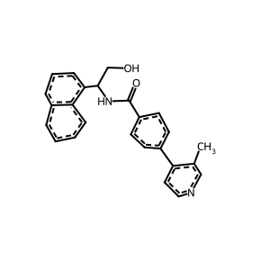 Cc1cnccc1-c1ccc(C(=O)NC(CO)c2cccc3ccccc23)cc1